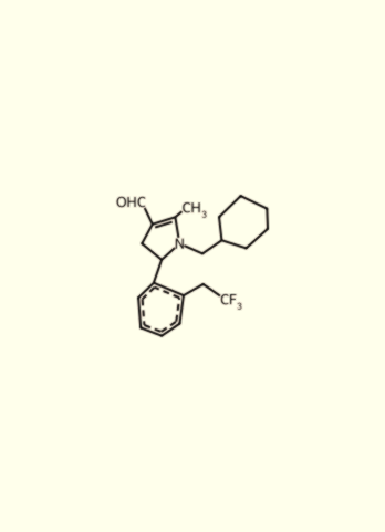 CC1=C(C=O)CC(c2ccccc2CC(F)(F)F)N1CC1CCCCC1